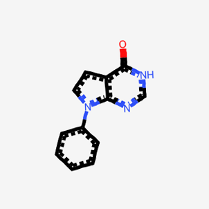 O=c1[nH]cnc2c1ccn2-c1ccccc1